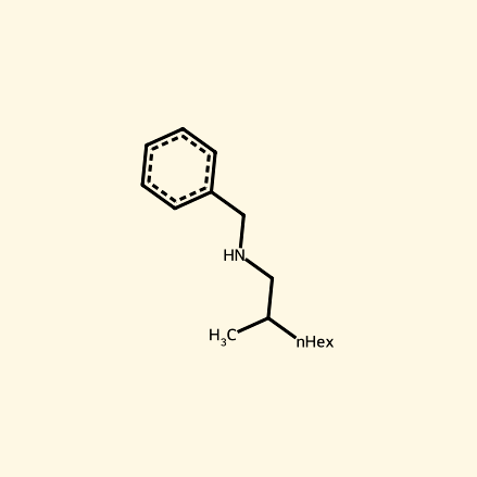 CCCCCCC(C)CNCc1ccccc1